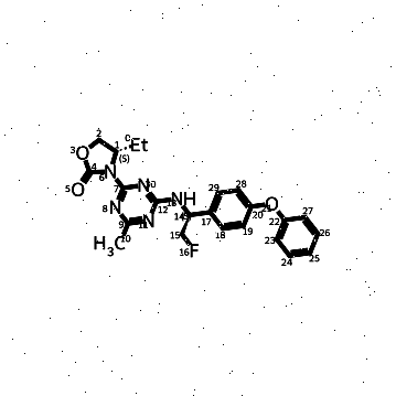 CC[C@H]1COC(=O)N1c1nc(C)nc(N[C@H](CF)c2ccc(Oc3ccccc3)cc2)n1